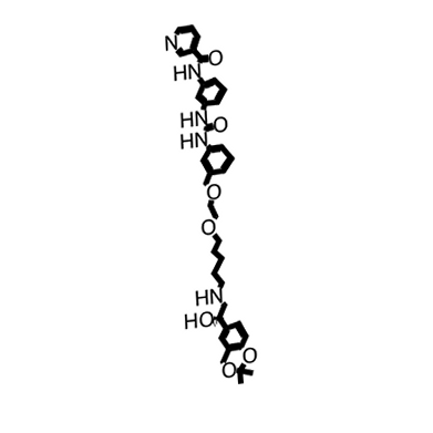 CC1(C)OCc2cc([C@@H](O)CNCCCCCOCCOCc3cccc(NC(=O)Nc4cccc(NC(=O)c5cccnc5)c4)c3)ccc2O1